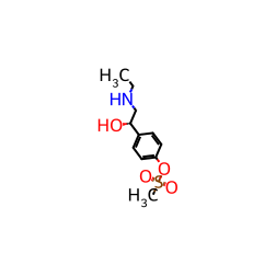 CCNC[C@H](O)c1ccc(OS(C)(=O)=O)cc1